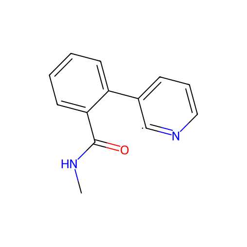 CNC(=O)c1ccccc1-c1[c]nccc1